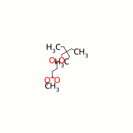 CCC(CC)(CC)COC(=O)CCC(=O)OC